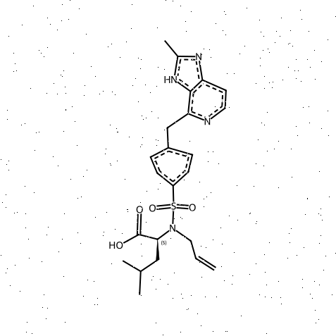 C=CCN([C@@H](CC(C)C)C(=O)O)S(=O)(=O)c1ccc(Cc2nccc3nc(C)[nH]c23)cc1